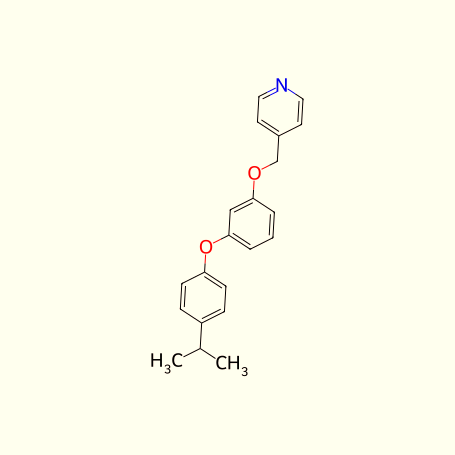 CC(C)c1ccc(Oc2cccc(OCc3ccncc3)c2)cc1